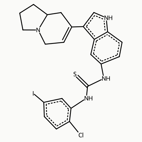 S=C(Nc1ccc2[nH]cc(C3=CCN4CCCC4C3)c2c1)Nc1cc(I)ccc1Cl